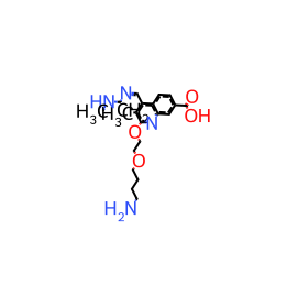 C=C(/N=C\c1c(C)c(OCCOCCCCN)nc2cc(C(=O)O)ccc12)NC